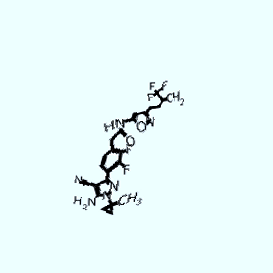 C=C(CCc1cc(NC(=O)Cc2ccc(-c3nn(C4(C)CC4)c(N)c3C#N)c(F)c2F)on1)C(F)(F)F